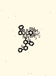 Bc1c(B)c(B)c(-c2nc(-c3cccc4c3oc3ccccc34)nc(-c3ccc(-c4cccc5c4sc4ccccc45)c4c3oc3ccccc34)n2)c(B)c1B